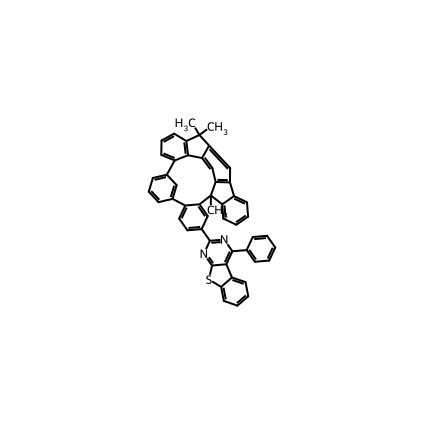 CC1(C)c2cc3c4cc2-c2c(cccc21)-c1cccc(c1)-c1ccc(-c2nc(-c5ccccc5)c5c(n2)sc2ccccc25)cc1C4(C)c1ccccc1-3